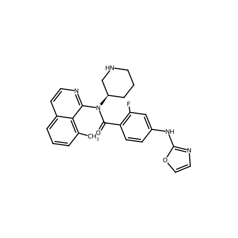 Cc1cccc2ccnc(N(C(=O)c3ccc(Nc4ncco4)cc3F)[C@@H]3CCCNC3)c12